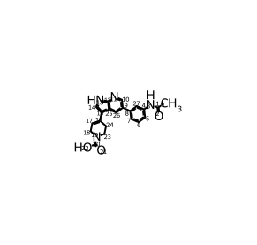 CC(=O)Nc1cccc(-c2cnc3[nH]cc(C4=CCN(C(=O)O)CC4)c3c2)c1